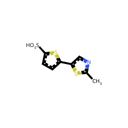 Cc1ncc(-c2ccc(S(=O)(=O)O)s2)s1